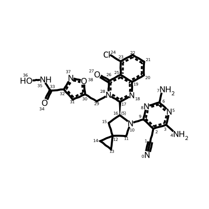 N#Cc1c(N)nc(N)nc1N1CC2(CC2)C[C@H]1c1nc2cccc(Cl)c2c(=O)n1Cc1cc(C(=O)NO)no1